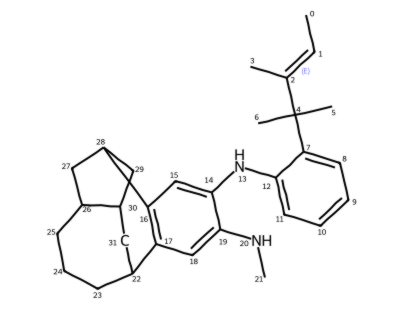 C/C=C(\C)C(C)(C)c1ccccc1Nc1cc2c(cc1NC)C1CCCC3CC2CC3C1